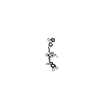 CO/C(=C\C=C\c1cc2cc(Cl)c(Cl)cc2[nH]1)C(=O)NCCCN1CCN(c2ccccc2Cl)CC1